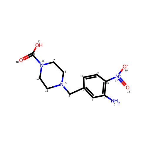 Nc1cc(CN2CCN(C(=O)O)CC2)ccc1[N+](=O)[O-]